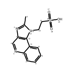 CC1=Nc2cnc3ccccc3c2[SH]1CCS(=O)(=O)O